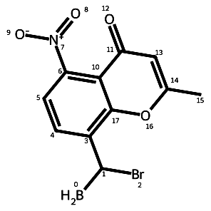 BC(Br)c1ccc([N+](=O)[O-])c2c(=O)cc(C)oc12